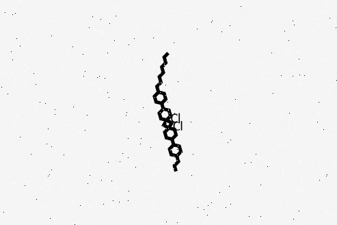 CCCCCCCCC1CCC(C2CCC3(CC2)CC2(CCC(C4CCC(CCC)CC4)CC2)C3(Cl)Cl)CC1